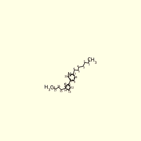 CCCCCCCc1ccc(-c2ccc(CCCC)s2)cn1